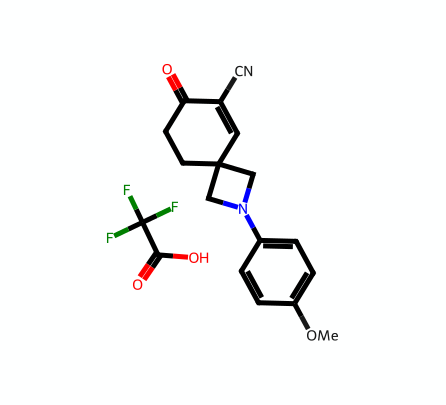 COc1ccc(N2CC3(C=C(C#N)C(=O)CC3)C2)cc1.O=C(O)C(F)(F)F